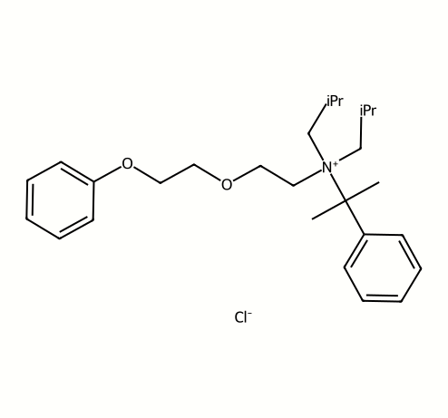 CC(C)C[N+](CCOCCOc1ccccc1)(CC(C)C)C(C)(C)c1ccccc1.[Cl-]